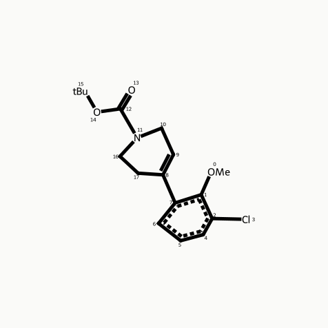 COc1c(Cl)cccc1C1=CCN(C(=O)OC(C)(C)C)CC1